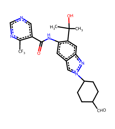 CC(C)(O)c1cc2nn(C3CCC(C=O)CC3)cc2cc1NC(=O)c1cncnc1C(F)(F)F